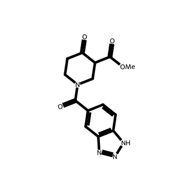 COC(=O)C1CN(C(=O)c2ccc3[nH]nnc3c2)CCC1=O